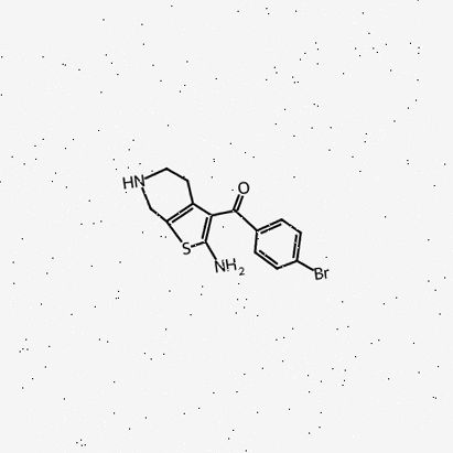 Nc1sc2c(c1C(=O)c1ccc(Br)cc1)CCNC2